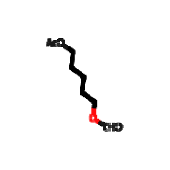 CC(=O)OCCCCCO[C]=O